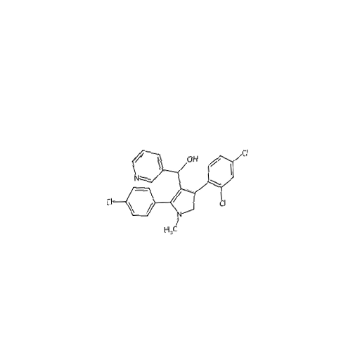 CN1CC(c2ccc(Cl)cc2Cl)C(C(O)c2cccnc2)=C1c1ccc(Cl)cc1